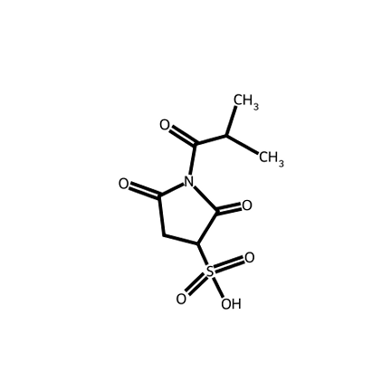 CC(C)C(=O)N1C(=O)CC(S(=O)(=O)O)C1=O